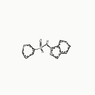 O=S(=O)(Nn1ncc2ccccc21)c1ccccc1